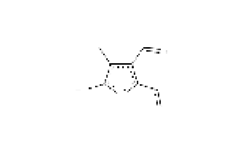 Cc1c(O)oc(C=O)c1C=O